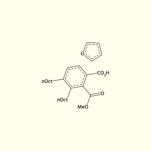 CCCCCCCCc1ccc(C(=O)O)c(C(=O)OC)c1CCCCCCCC.c1ccoc1